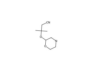 CC(C)(CC#N)OC1C[N]CCO1